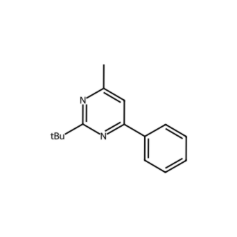 Cc1cc(-c2ccccc2)nc(C(C)(C)C)n1